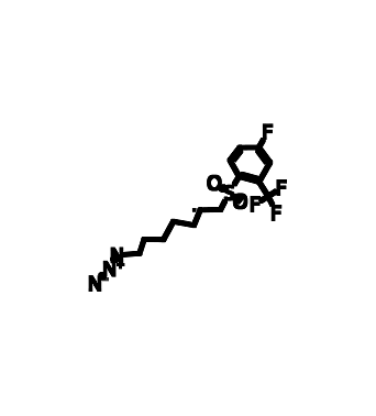 [N-]=[N+]=NCCCCC[CH]CS(=O)(=O)c1ccc(F)cc1C(F)(F)F